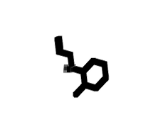 C=CCNC1CCCCC1C